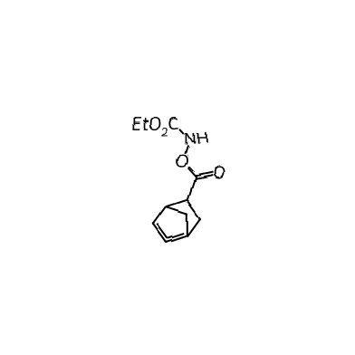 CCOC(=O)NOC(=O)C1CC2=C=CC1C2